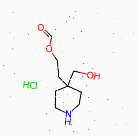 Cl.O=COCCC1(CO)CCNCC1